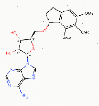 COc1cc2c(c(OC)c1OC)C(OC[C@H]1O[C@@H](n3cnc4c(N)ncnc43)[C@H](O)[C@@H]1O)CC2